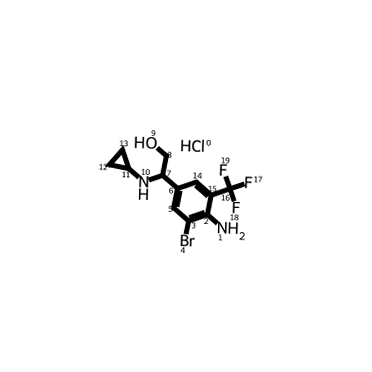 Cl.Nc1c(Br)cc(C(CO)NC2CC2)cc1C(F)(F)F